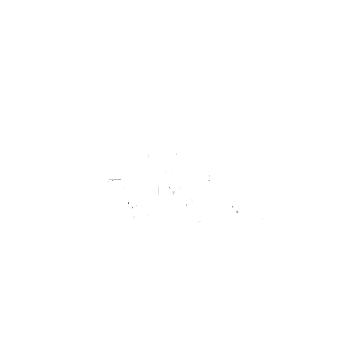 CN1CCC(NC(=O)c2ccccc2[N+](=O)[O-])CC1